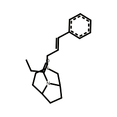 CCC(=O)N1C2CCC1CN(CC=Cc1ccccc1)CC2